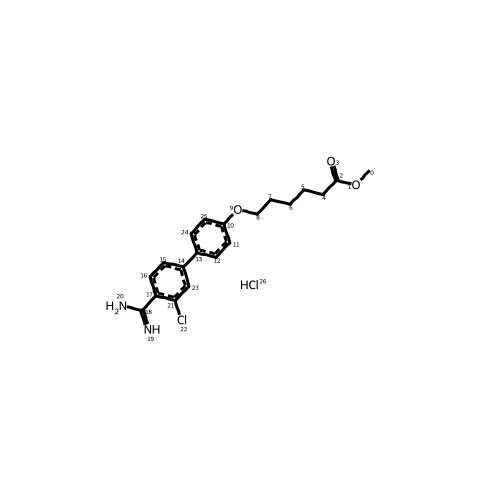 COC(=O)CCCCCOc1ccc(-c2ccc(C(=N)N)c(Cl)c2)cc1.Cl